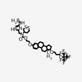 BBc1c[nH]c(CN(C(=O)OCCOc2ccc3c(c2)CCC2C3CCC3(C)C(OCCCOC(C(F)(F)F)(C(F)(F)F)C(F)(F)F)CCC23)C2CCSSC2)n1